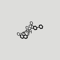 O=C(CC1OC(=O)c2cc(-c3ccccc3)ccc21)NC[C@@H]1Cn2c(=O)ccc3ccc(F)c1c32